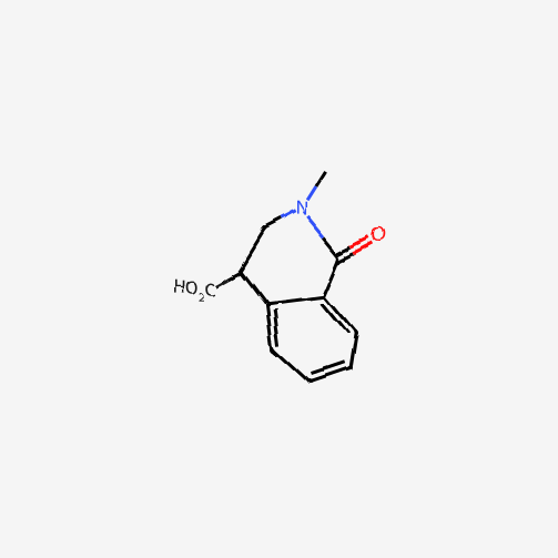 CN1CC(C(=O)O)c2ccccc2C1=O